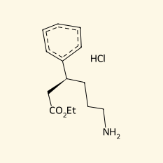 CCOC(=O)C[C@H](CCCN)c1ccccc1.Cl